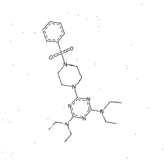 CCN(CC)c1nc(N(CC)CC)nc(N2CCN(S(=O)(=O)c3ccccc3)CC2)n1